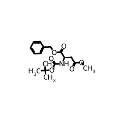 COC(=O)C[C@@H](NC(=O)OC(C)(C)C)C(=O)OCc1ccccc1